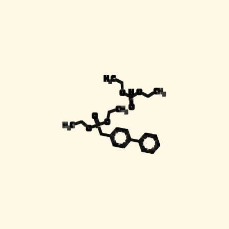 CCOP(=O)(Cc1ccc(-c2ccccc2)cc1)OCC.CCO[PH](=O)OCC